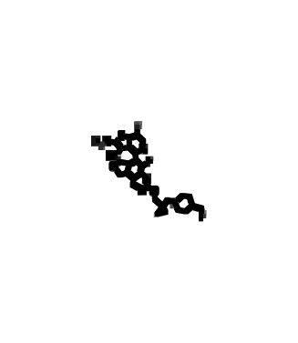 N#Cc1c(N)sc2c(F)cnc(-c3c4c(c5cnc(OCC6(CN7CCC(=CF)CC7)CC6)nc5c3F)COC4)c12